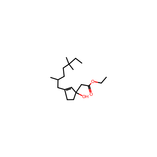 CCOC(=O)CC1(O)C=C(CC(C)CCC(C)(C)CC)CC1